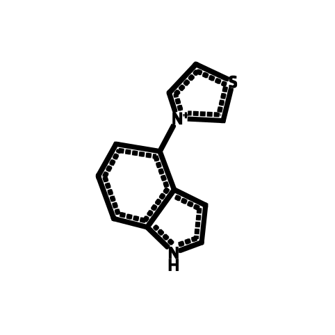 c1cc(-[n+]2ccsc2)c2cc[nH]c2c1